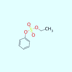 CCOS(=O)(=O)Oc1ccccc1